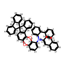 c1ccc(-c2ccccc2N(c2ccc3ccccc3c2)c2cccc3c2Oc2c(ccc4c2-c2ccccc2C42c4ccccc4-c4ccccc42)O3)cc1